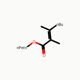 CCCCCOC(=O)C(C)=C(C)CCCC